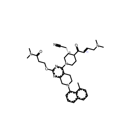 Cc1cccc2cccc(N3CCc4c(nc(OCCC(=O)N(C)C)nc4N4CCC(C(=O)/C=C/CN(C)C)[C@@H](CC#N)C4)C3)c12